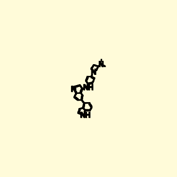 CN(C)C1CCN(c2ccc(Nc3ccnc4ccc(-c5cccc6[nH]ccc56)cc34)cc2)C1